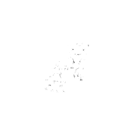 CC1=Cc2cc3c(cc2[CH]1[Zr+2][CH]1C(C)=Cc2cc4c(cc21)C(C)(C)CCC4(C)C)C(C)(C)CCC3(C)C.[Cl-].[Cl-]